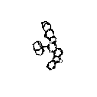 c1ccc2c(c1)oc1ccc3c(nc(C45CC6CC(CC(C6)C4)C5)n4c5cc6c(cc5nc34)C3CCC6C3)c12